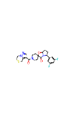 O=C(c1cnn2c1CSCC2)N1CCC2(CC1)OC1CCC(c3cc(F)cc(F)c3)N1C2=O